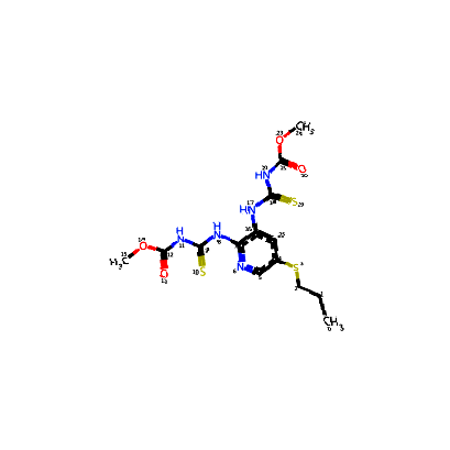 CCCSc1cnc(NC(=S)NC(=O)OC)c(NC(=S)NC(=O)OC)c1